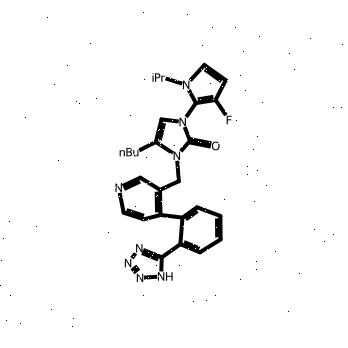 CCCCc1cn(-c2c(F)ccn2C(C)C)c(=O)n1Cc1cnccc1-c1ccccc1-c1nnn[nH]1